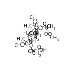 CCOC(=O)CCN(C)C(=O)c1ccc(NC(CC(C)C)c2oc3ccc(Cl)cc3c2C)cc1.Cc1c(C(CC(C)C)Nc2ccc(C(=O)N(C)CCC(=O)O)cc2)oc2ccc(Cl)cc12